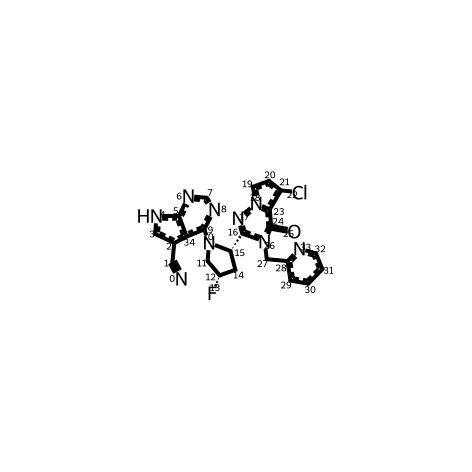 N#Cc1c[nH]c2ncnc(N3C[C@@H](F)C[C@H]3c3nn4ccc(Cl)c4c(=O)n3Cc3ccccn3)c12